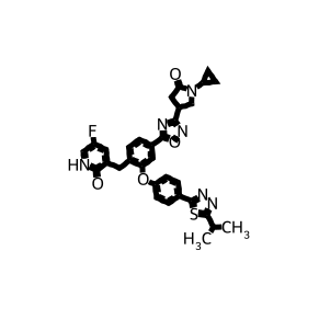 CC(C)c1nnc(-c2ccc(Oc3cc(-c4nc(C5CC(=O)N(C6CC6)C5)no4)ccc3Cc3cc(F)c[nH]c3=O)cc2)s1